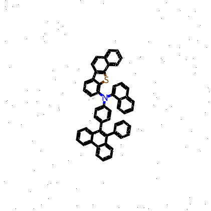 c1ccc(-c2c(-c3ccc(N(c4cccc5ccccc45)c4cccc5c4sc4c6ccccc6ccc54)cc3)c3ccccc3c3ccccc23)cc1